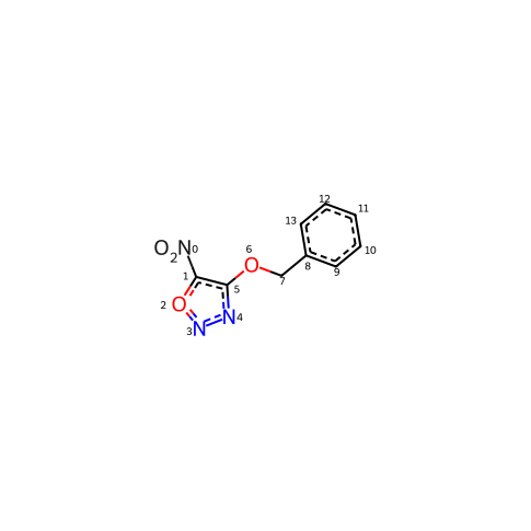 O=[N+]([O-])c1onnc1OCc1ccccc1